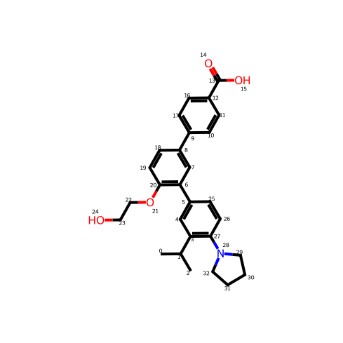 CC(C)c1cc(-c2cc(-c3ccc(C(=O)O)cc3)ccc2OCCO)ccc1N1CCCC1